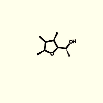 CC1[C@H](C)O[C@H]([C@@H](C)O)[C@@H]1C